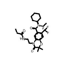 CCC(=O)NCCN1C(=O)C(C)(C)Oc2cc(C(F)(F)F)c(C(=O)N(CC)C3CCCCC3)cc21